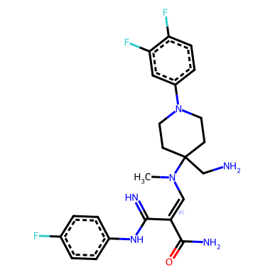 CN(/C=C(\C(=N)Nc1ccc(F)cc1)C(N)=O)C1(CN)CCN(c2ccc(F)c(F)c2)CC1